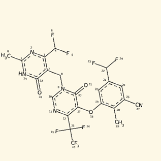 Cc1nc(C(F)F)c(Cn2cnc(C(F)(F)C(F)(F)F)c(Oc3cc(C(F)F)cc(C#N)c3C)c2=O)c(=O)[nH]1